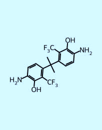 CC(C)(c1ccc(N)c(O)c1C(F)(F)F)c1ccc(N)c(O)c1C(F)(F)F